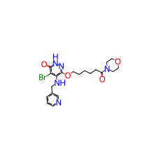 O=C(CCCCCOc1n[nH]c(=O)c(Br)c1NCc1cccnc1)N1CCOCC1